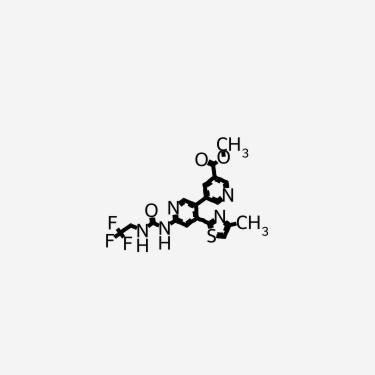 COC(=O)c1cncc(-c2cnc(NC(=O)NCC(F)(F)F)cc2-c2nc(C)cs2)c1